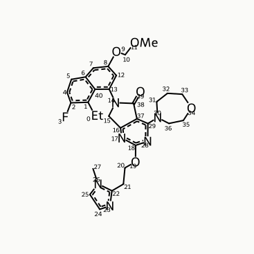 CCc1c(F)ccc2cc(OCOC)cc(N3Cc4nc(OCCc5nccn5C)nc(N5CCCOCC5)c4C3=O)c12